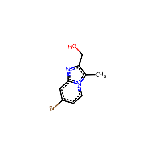 Cc1c(CO)nc2cc(Br)ccn12